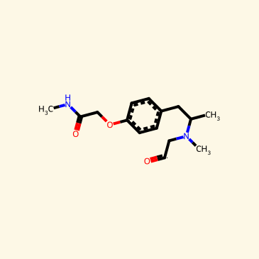 CNC(=O)COc1ccc(CC(C)N(C)C[C]=O)cc1